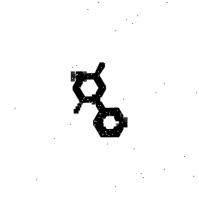 C[C@@H]1CN[C@@H](C)CN1c1cccnc1